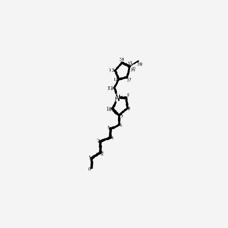 CCCCCCCC1CCN(CC2CC[C@@H](C)C2)C1